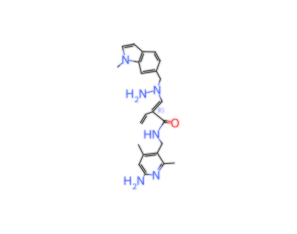 C=C/C(=C\N(N)Cc1ccc2ccn(C)c2c1)C(=O)NCc1c(C)cc(N)nc1C